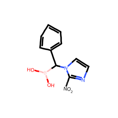 O=[N+]([O-])c1nccn1C(B(O)O)c1ccccc1